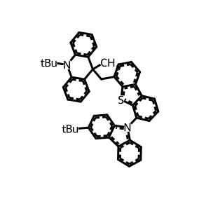 CC(C)(C)c1ccc2c(c1)c1ccccc1n2-c1cccc2c1sc1c(CC3(C)c4ccccc4N(C(C)(C)C)c4ccccc43)cccc12